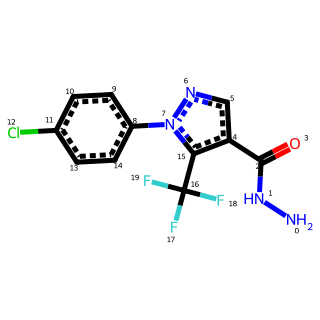 NNC(=O)c1cnn(-c2ccc(Cl)cc2)c1C(F)(F)F